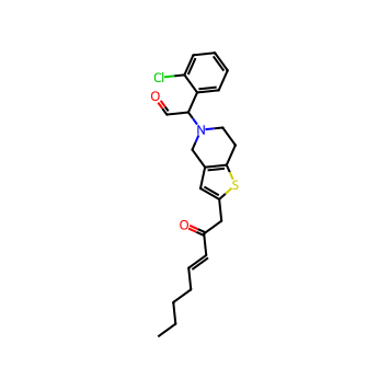 CCCC/C=C/C(=O)Cc1cc2c(s1)CCN(C(C=O)c1ccccc1Cl)C2